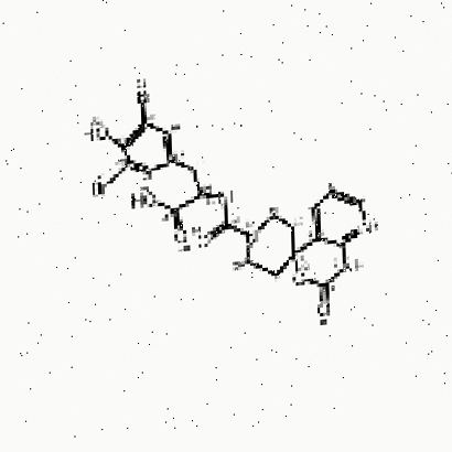 O=C1Nc2ncccc2C2(CCN(C(=O)NC(Cc3cc(Br)c(O)c(Br)c3)C(=O)O)CC2)O1